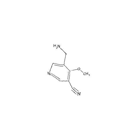 COc1c(C#N)cncc1CN